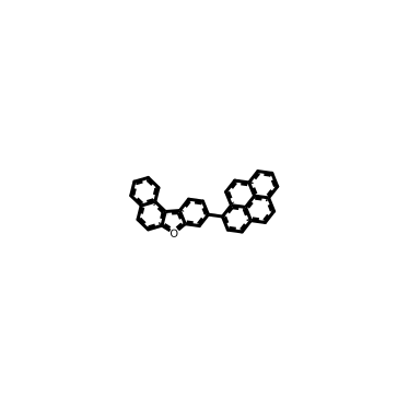 c1ccc2c(c1)ccc1oc3cc(-c4ccc5ccc6cccc7ccc4c5c67)ccc3c12